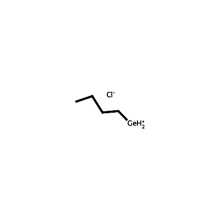 CCC[CH2][GeH2+].[Cl-]